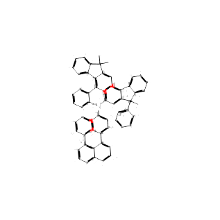 CC1(C)c2ccccc2-c2c(-c3ccccc3N(c3ccc(-c4cccc5cccc(-c6ccccc6)c45)cc3)c3ccc4c(c3)C(C)(c3ccccc3)c3ccccc3-4)cccc21